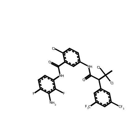 CC(Cl)(Cl)C(C(=O)Nc1ccc(Cl)c(C(=O)Nc2ccc(F)c(N)c2F)c1)c1cc(C(F)(F)F)cc(C(F)(F)F)c1